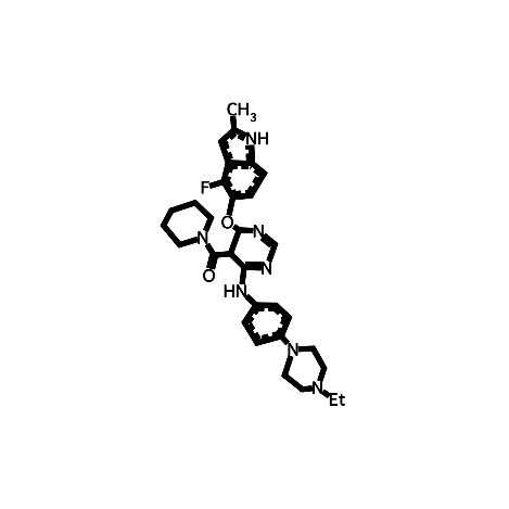 CCN1CCN(c2ccc(NC3=NC=NC(Oc4ccc5[nH]c(C)cc5c4F)C3C(=O)N3CCCCC3)cc2)CC1